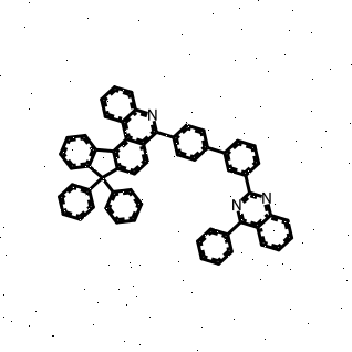 c1ccc(-c2nc(-c3cccc(-c4ccc(-c5nc6ccccc6c6c7c(ccc56)C(c5ccccc5)(c5ccccc5)c5ccccc5-7)cc4)c3)nc3ccccc23)cc1